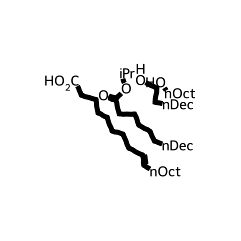 CCCCCCCCC=CCCCCCCCC(=O)O.CCCCCCCCCCCCCCCC(=O)OC(C)C.CCCCCCCCCCCCO.CCCCCCCCO